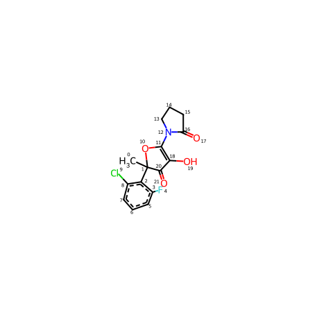 CC1(c2c(F)cccc2Cl)OC(N2CCCC2=O)=C(O)C1=O